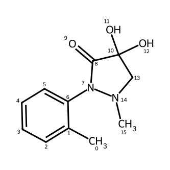 Cc1ccccc1N1C(=O)C(O)(O)CN1C